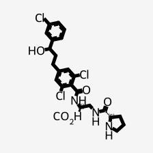 O=C(N[C@@H](CNC(=O)[C@@H]1CCCN1)C(=O)O)c1c(Cl)cc(CCC(O)c2cccc(Cl)c2)cc1Cl